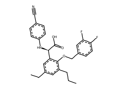 CCCc1cc(CC)cc([C@@H](Nc2ccc(C#N)cc2)C(=O)O)c1OCc1ccc(F)c(F)c1